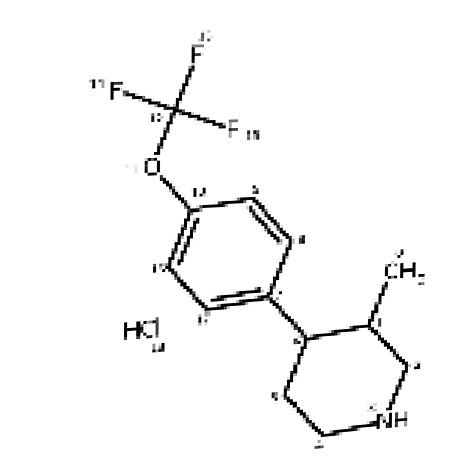 CC1CNCCC1c1ccc(OC(F)(F)F)cc1.Cl